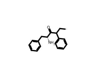 [CH2]CC(C(=O)[C@H](N)Cc1ccccc1)c1ccccc1